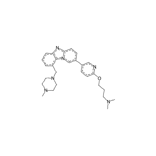 CN(C)CCCOc1ccc(-c2ccc3nc4cccc(CN5CCN(C)CC5)c4n3c2)cn1